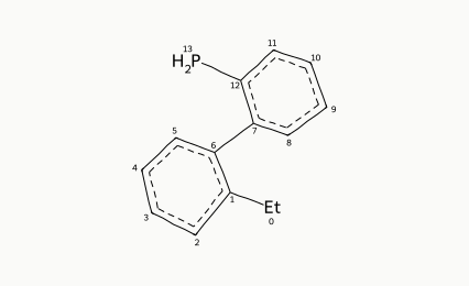 CCc1ccccc1-c1ccccc1P